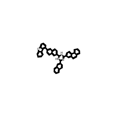 c1ccc2cc(C3N=C(c4ccc5c(ccc6ccccc65)c4)NC(c4ccc5cc(-c6cccc7oc8ccccc8c67)ccc5c4)N3)ccc2c1